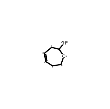 [2H]C1CC=CCCO1